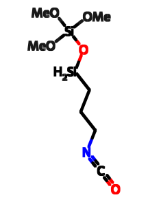 CO[Si](OC)(OC)O[SiH2]CCCN=C=O